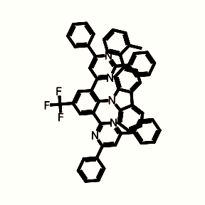 Cc1ccccc1-c1ccc2c3ccccc3n(-c3c(-c4cc(-c5ccccc5)nc(-c5ccccc5)n4)cc(C(F)(F)F)cc3-c3nc(-c4ccccc4)cc(-c4ccccc4)n3)c2c1